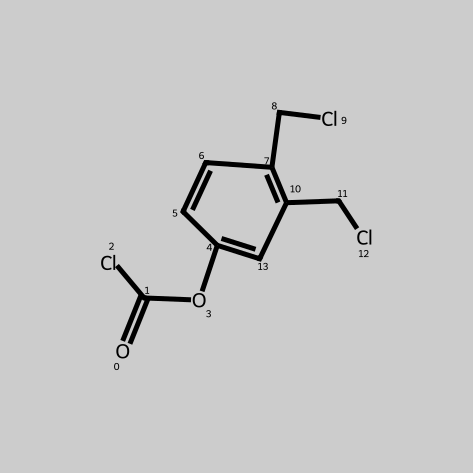 O=C(Cl)Oc1ccc(CCl)c(CCl)c1